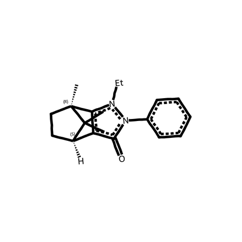 CCn1c2c(c(=O)n1-c1ccccc1)[C@H]1CC[C@]2(C)C1(C)C